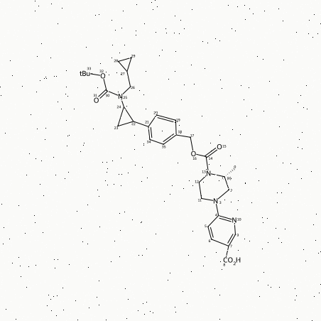 C[C@@H]1CN(c2ccc(C(=O)O)cn2)CCN1C(=O)OCc1ccc(C2CC2N(CC2CC2)C(=O)OC(C)(C)C)cc1